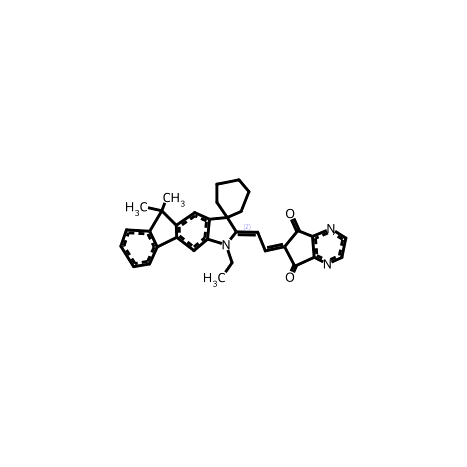 CCN1/C(=C\C=C2C(=O)c3nccnc3C2=O)C2(CCCCC2)c2cc3c(cc21)-c1ccccc1C3(C)C